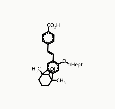 CCCCCCCOc1cc2c(cc1/C=C/c1ccc(C(=O)O)cc1)C1(C)CCCC2(C)C1O